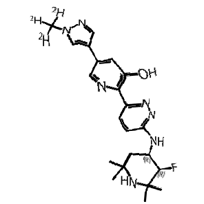 [2H]C([2H])([2H])n1cc(-c2cnc(-c3ccc(N[C@@H]4CC(C)(C)NC(C)(C)[C@@H]4F)nn3)c(O)c2)cn1